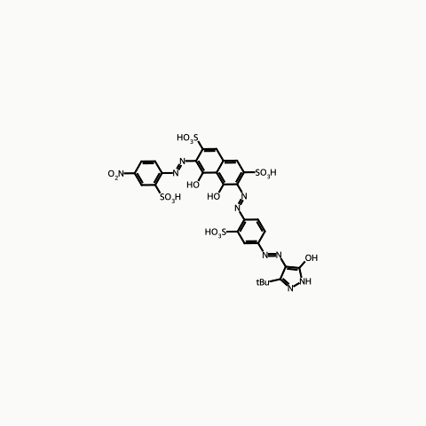 CC(C)(C)c1n[nH]c(O)c1/N=N/c1ccc(/N=N/c2c(S(=O)(=O)O)cc3cc(S(=O)(=O)O)c(/N=N/c4ccc([N+](=O)[O-])cc4S(=O)(=O)O)c(O)c3c2O)c(S(=O)(=O)O)c1